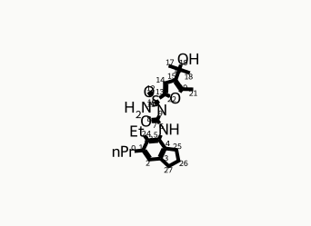 CCCc1cc2c(c(NC(=O)N=S(N)(=O)c3cc(C(C)(C)O)c(C)o3)c1CC)CCC2